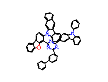 c1ccc(-c2cccc(-c3nc(-c4ccc5c(c4)c4ccccc4n5-c4ccccc4)nc(-c4c(-n5c6ccccc6c6cc7ccccc7cc65)ccc5c4oc4ccccc45)n3)c2)cc1